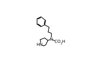 O=C(O)N(CCCc1ccccc1)C1CCNCC1